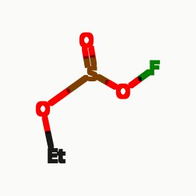 CCOS(=O)OF